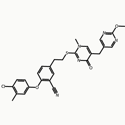 COc1ncc(Cc2cn(C)c(SCCc3ccc(Oc4ccc(Cl)c(C)c4)c(C#N)c3)nc2=O)cn1